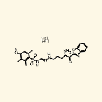 COc1cc(C)c(S(=O)(=O)NC=NNCCCC(N)C(=O)c2nc3ccccc3s2)c(C)c1C.Cl.Cl